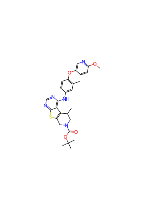 COc1ccc(Oc2ccc(Nc3ncnc4sc5c(c34)C(C)CN(C(=O)OC(C)(C)C)C5)cc2C)cn1